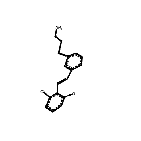 NCCCc1cccc(C=Cc2c(Cl)cccc2Cl)c1